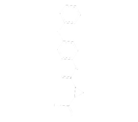 O=C(O)C1CC1C(=O)Nc1ccc(Oc2ccccc2)cc1